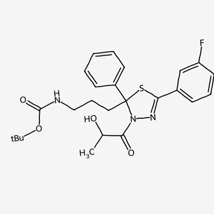 CC(O)C(=O)N1N=C(c2cccc(F)c2)SC1(CCCNC(=O)OC(C)(C)C)c1ccccc1